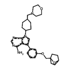 Nc1ncnc2c1c(-c1cccc(OCC34CCC(CC3)O4)c1)cn2C1CCC(CN2CCOCC2)CC1